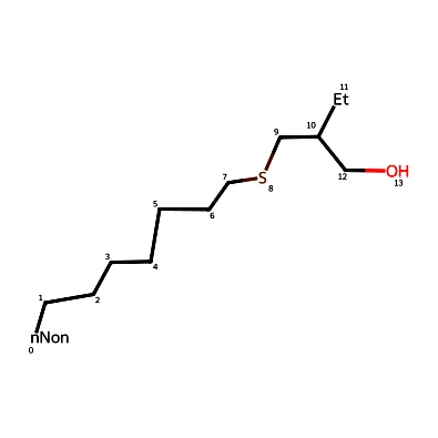 CCCCCCCCCCCCCCCCSCC(CC)CO